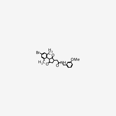 COc1cccc(CNC(=O)CC2CC(=O)C(c3c(C)cc(Br)cc3C)C2=O)c1